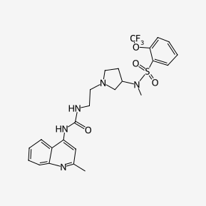 Cc1cc(NC(=O)NCCN2CCC(N(C)S(=O)(=O)c3ccccc3OC(F)(F)F)C2)c2ccccc2n1